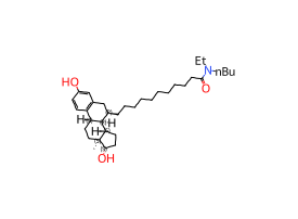 CCCCN(CC)C(=O)CCCCCCCCCC[C@@H]1Cc2cc(O)ccc2[C@H]2CC[C@]3(C)[C@@H](O)CC[C@H]3[C@H]12